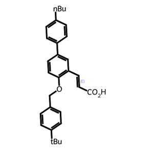 CCCCc1ccc(-c2ccc(OCc3ccc(C(C)(C)C)cc3)c(/C=C/C(=O)O)c2)cc1